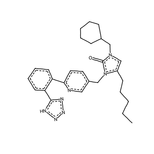 CCCCCc1cn(CC2CCCCC2)c(=O)n1Cc1ccc(-c2ccccc2-c2nnn[nH]2)nc1